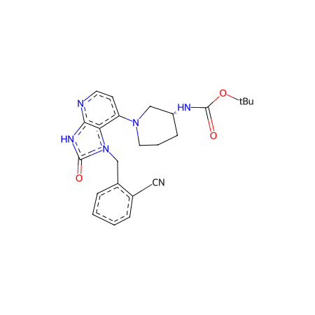 CC(C)(C)OC(=O)N[C@@H]1CCCN(c2ccnc3[nH]c(=O)n(Cc4ccccc4C#N)c23)C1